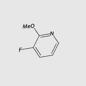 [CH2]Oc1ncccc1F